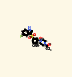 COc1ccc(S(=O)(=O)c2c[nH]c3ccc(F)cc23)cc1[N+]1([O-])CCN(C(=O)C(Cl)(Cl)Cl)CC1